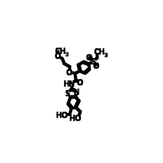 CCS(=O)(=O)c1ccc(C(OCCCOC)C(=O)Nc2nc3cc(CO)c(CO)cc3s2)cc1